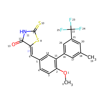 COc1ccc(/C=C2\SC(=S)NC2=O)cc1-c1cc(C)cc(C(F)(F)F)c1